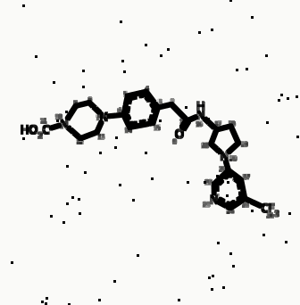 O=C(Cc1ccc(N2CCN(C(=O)O)CC2)cc1)NC1CCN(c2cncc(C(F)(F)F)c2)C1